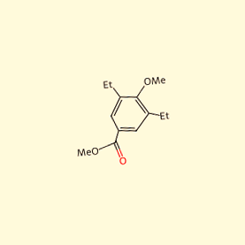 CCc1cc(C(=O)OC)cc(CC)c1OC